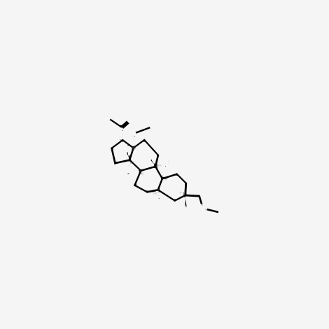 CC[C@]12CC[C@H]3[C@@H](CC[C@@H]4C[C@@](O)(COC)CC[C@@H]43)[C@@H]1CC[C@@H]2C(C)=O